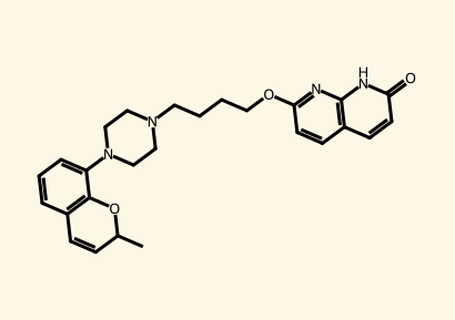 CC1C=Cc2cccc(N3CCN(CCCCOc4ccc5ccc(=O)[nH]c5n4)CC3)c2O1